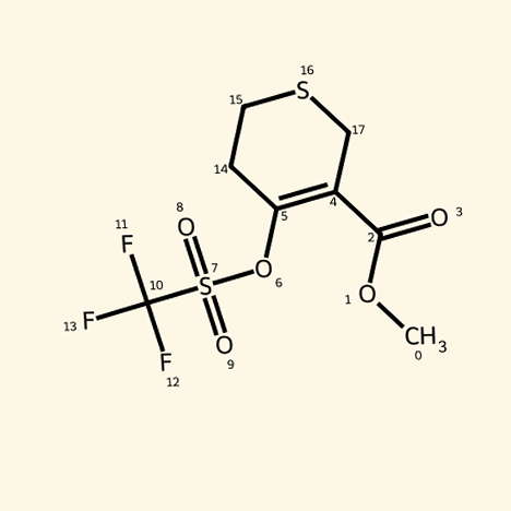 COC(=O)C1=C(OS(=O)(=O)C(F)(F)F)CCSC1